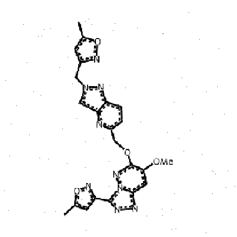 COc1cc2nnc(-c3cc(C)on3)n2nc1OCc1ccc2nn(Cc3cc(C)on3)cc2n1